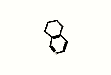 [CH]1CCCc2ccncc21